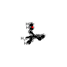 CCCCC(NC(=O)[C@@H](CCCC(F)(F)F)NC(=O)[C@H](N)Cc1ccccc1)C(=O)OC(=O)C1CCNCC1.O=C(O)C(F)(F)F.O=C(O)C(F)(F)F.O=C(O)C(F)(F)F